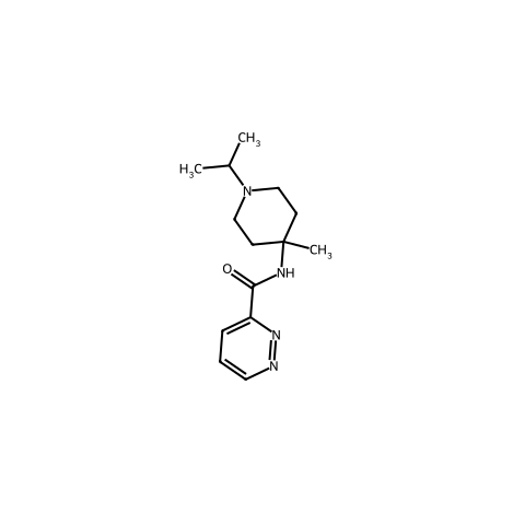 CC(C)N1CCC(C)(NC(=O)c2cccnn2)CC1